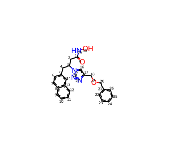 O=C(CC(Cc1ccc2ccccc2c1)n1cc(COCc2ccccc2)nn1)NO